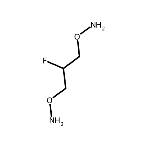 NOCC(F)CON